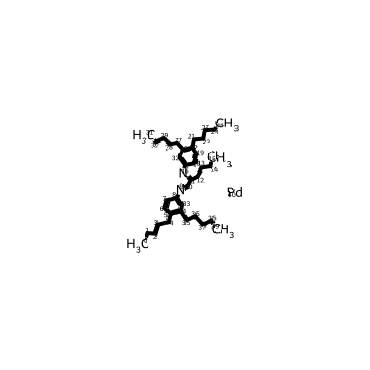 CCCCCc1ccc(N=CC(CCCC)=Nc2ccc(CCCCC)c(CCCCC)c2)cc1CCCCC.[Pd]